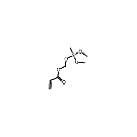 C=CC(=O)OCO[Si](C)(OC)OC